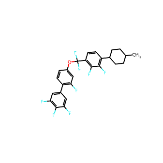 CC1CCC(c2ccc(C(F)(F)Oc3ccc(-c4cc(F)c(F)c(F)c4)c(F)c3)c(F)c2F)CC1